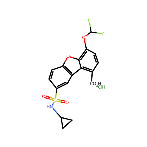 Cl.O=C(O)c1ccc(OC(F)F)c2oc3ccc(S(=O)(=O)NC4CC4)cc3c12